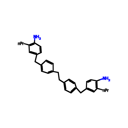 CCCc1cc(Cc2ccc(CCc3ccc(Cc4ccc(N)c(CCC)c4)cc3)cc2)ccc1N